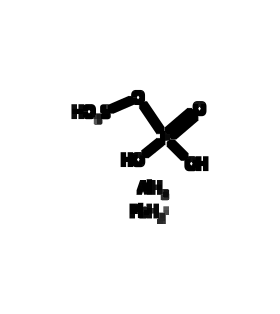 O=P(O)(O)OS(=O)(=O)O.[AlH3].[PbH2]